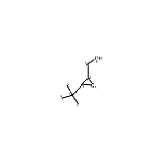 CC(C)(C)C1OC1CO